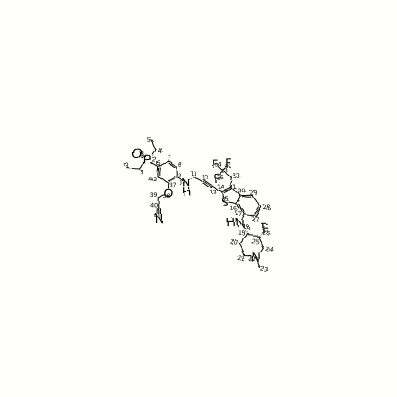 CCP(=O)(CC)c1ccc(NCC#Cc2sc3c(N[C@H]4CCN(C)C[C@H]4F)cccc3c2CC(F)(F)F)c(OCC#N)c1